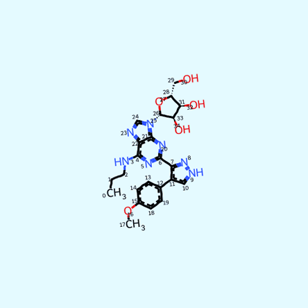 CCCNc1nc(-c2n[nH]cc2-c2ccc(OC)cc2)nc2c1ncn2[C@@H]1O[C@H](CO)[C@@H](O)[C@H]1O